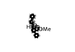 COC(=O)Cc1c(-c2ccccc2)ccc(NC(=O)c2ccc(-c3ccccc3)s2)c1F